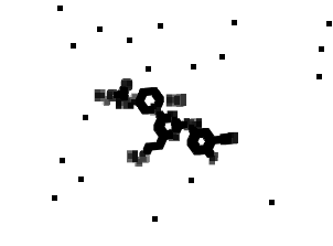 CCCc1cc(N2CCC[C@@H](NC(C)=O)C2)nc(Nc2ccc(F)c(C#N)c2)n1.Cl